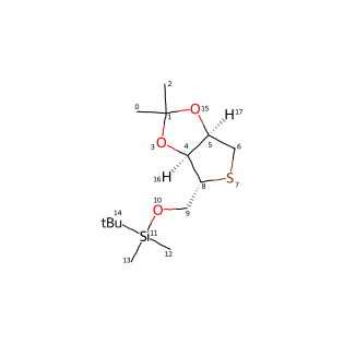 CC1(C)O[C@H]2[C@H](CS[C@@H]2CO[Si](C)(C)C(C)(C)C)O1